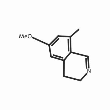 COc1cc(C)c2c(c1)CCN=C2